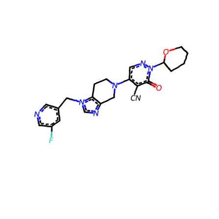 N#Cc1c(N2CCc3c(ncn3Cc3cncc(F)c3)C2)cnn(C2CCCCO2)c1=O